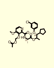 COc1ccnc(C(=O)N[C@@H](C)C(=O)OC(C)[C@H](Oc2cccc(Cl)c2)C2CCCC2)c1OCOC(C)=O